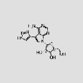 Nc1ncnc2c1c(-c1c[nH]nn1)cn2[C@@H]1O[C@H](CO)C(O)[C@@H]1O